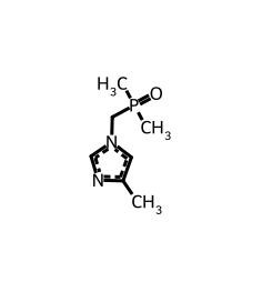 Cc1cn(CP(C)(C)=O)cn1